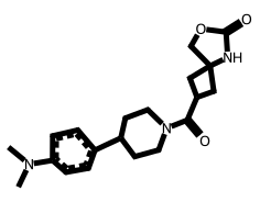 CN(C)c1ccc(C2CCN(C(=O)C3CC4(COC(=O)N4)C3)CC2)cc1